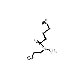 CN(CCC(C)(C)C)C(=O)CCCC(C)(C)C